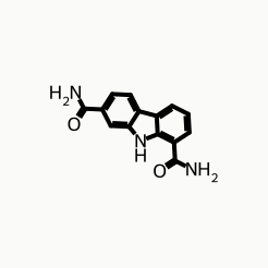 NC(=O)c1ccc2c(c1)[nH]c1c(C(N)=O)cccc12